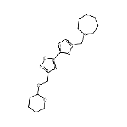 c1cc(-c2nc(COC3CCCCO3)no2)sc1CN1CCCCCC1